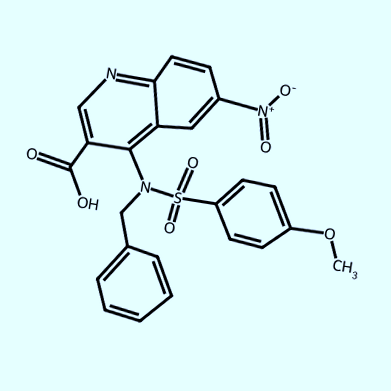 COc1ccc(S(=O)(=O)N(Cc2ccccc2)c2c(C(=O)O)cnc3ccc([N+](=O)[O-])cc23)cc1